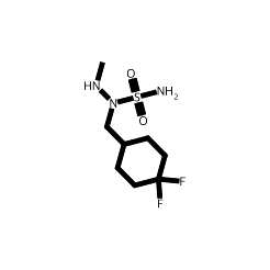 CNN(CC1CCC(F)(F)CC1)S(N)(=O)=O